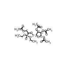 CCOP(=O)(OCC)C(COC(C)=O)OC[C@H]1O[C@@H](OC(C)=O)[C@H](OC(C)=O)[C@@H]1OC(C)=O